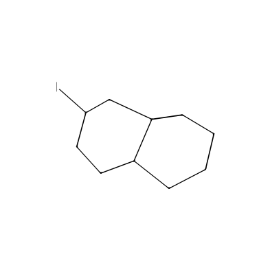 IC1CCC2CCCCC2C1